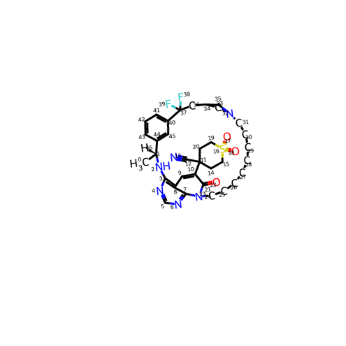 C[C@H]1Nc2ncnc3c2cc(C2(C#N)CCS(=O)(=O)CC2)c(=O)n3CCCCCCCCN2CC(C2)CC(F)(F)c2cccc1c2